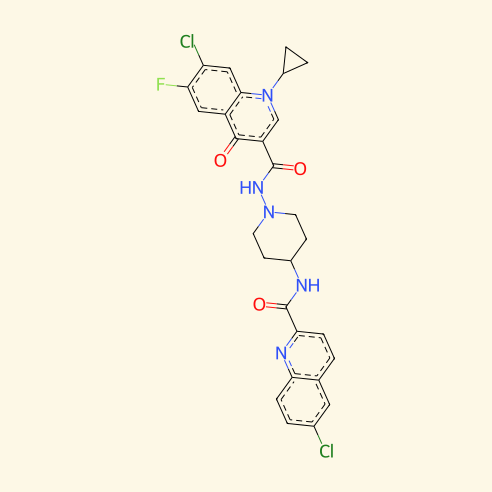 O=C(NC1CCN(NC(=O)c2cn(C3CC3)c3cc(Cl)c(F)cc3c2=O)CC1)c1ccc2cc(Cl)ccc2n1